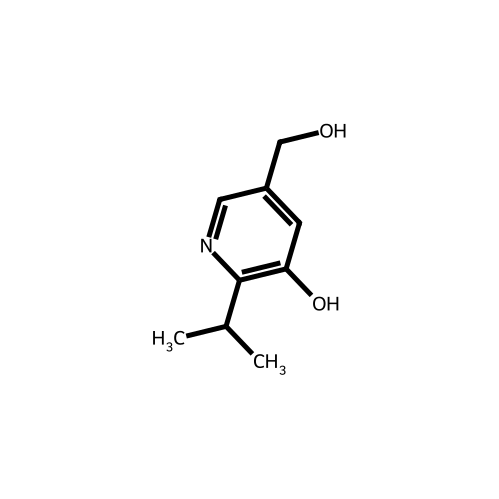 CC(C)c1ncc(CO)cc1O